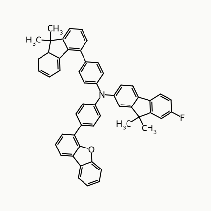 CC1(C)c2cc(F)ccc2-c2ccc(N(c3ccc(-c4cccc5c4C4=CC=CCC4C5(C)C)cc3)c3ccc(-c4cccc5c4oc4ccccc45)cc3)cc21